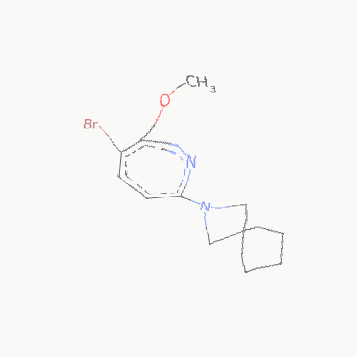 COc1nc(N2CC3(CCC3)C2)ccc1Br